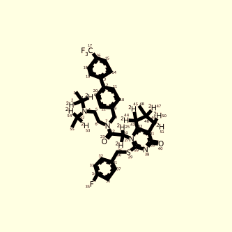 [2H]C([2H])(C)N(CCN(Cc1ccc(-c2ccc(C(F)(F)F)cc2)cc1)C(=O)C([2H])([2H])n1c(SCc2ccc(F)cc2)nc(=O)c2c1C([2H])([2H])C([2H])(C)C2([2H])[2H])C([2H])([2H])C